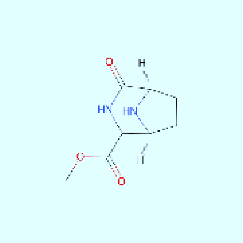 COC(=O)C1NC(=O)[C@H]2CC[C@@H]1N2